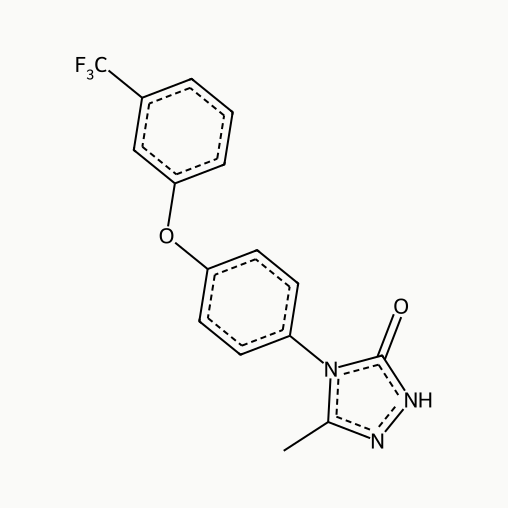 Cc1n[nH]c(=O)n1-c1ccc(Oc2cccc(C(F)(F)F)c2)cc1